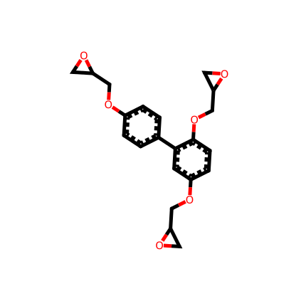 c1cc(-c2cc(OCC3CO3)ccc2OCC2CO2)ccc1OCC1CO1